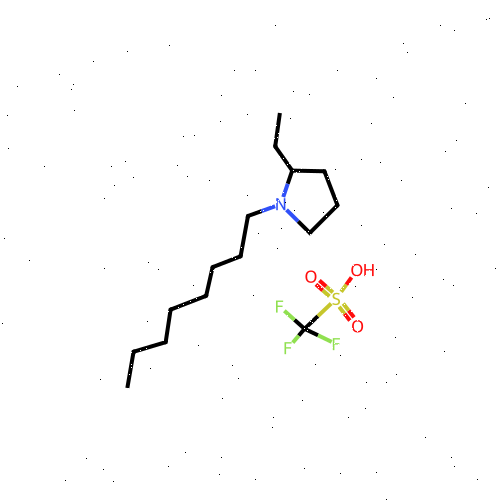 CCCCCCCCN1CCCC1CC.O=S(=O)(O)C(F)(F)F